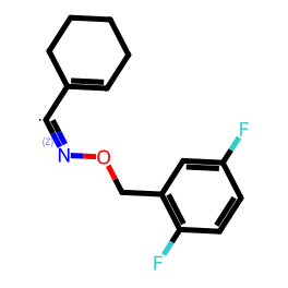 Fc1ccc(F)c(CO/N=[C]\C2=CCCCC2)c1